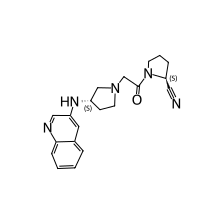 N#C[C@@H]1CCCN1C(=O)CN1CC[C@H](Nc2cnc3ccccc3c2)C1